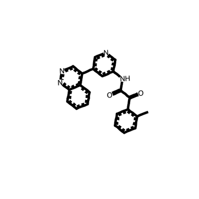 Cc1ccccc1C(=O)C(=O)Nc1cncc(-c2cnnc3ccccc23)c1